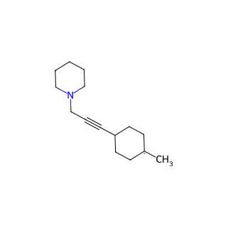 C[C]1CCC(C#CCN2CCCCC2)CC1